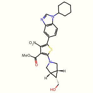 COC(=O)c1c(N2C[C@@H]3[C@H](CO)[C@@H]3C2)sc(-c2ccc3c(c2)ncn3C2CCCCC2)c1[N+](=O)[O-]